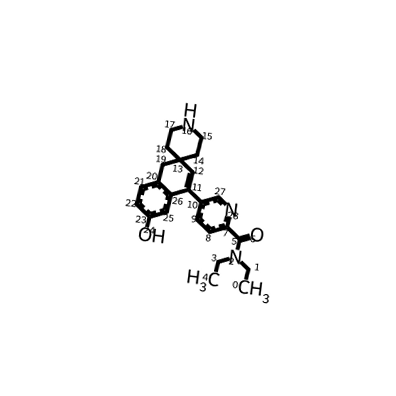 CCN(CC)C(=O)c1ccc(C2=CC3(CCNCC3)Cc3ccc(O)cc32)cn1